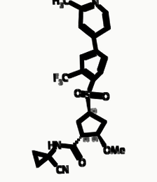 CO[C@@H]1C[C@H](S(=O)(=O)c2ccc(-c3ccnc(C)c3)cc2C(F)(F)F)C[C@H]1C(=O)NC1(C#N)CC1